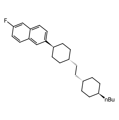 CCCC[C@H]1CC[C@H](CC[C@H]2CC[C@H](c3ccc4cc(F)ccc4c3)CC2)CC1